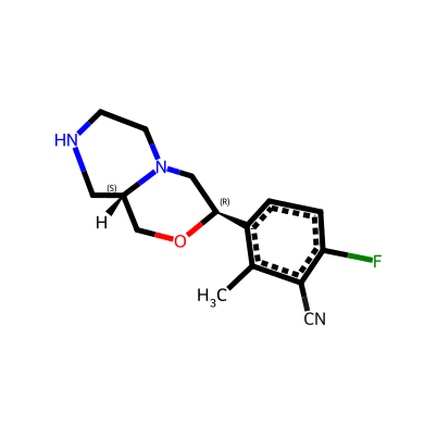 Cc1c([C@@H]2CN3CCNC[C@H]3CO2)ccc(F)c1C#N